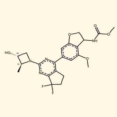 COC(=O)NC1COc2cc(-c3nc(N4C[C@@H](O)[C@@H]4C)nc4c3CCC4(F)F)cc(OC)c21